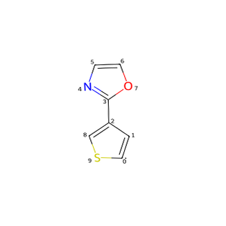 [c]1cc(-c2ncco2)cs1